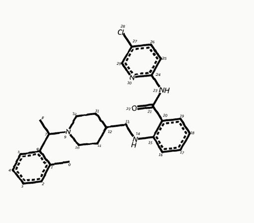 Cc1ccccc1C(C)N1CCC(CNc2ccccc2C(=O)Nc2ccc(Cl)cn2)CC1